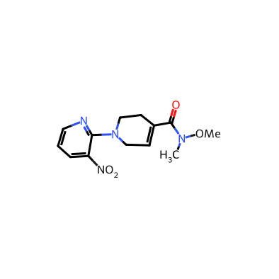 CON(C)C(=O)C1=CCN(c2ncccc2[N+](=O)[O-])CC1